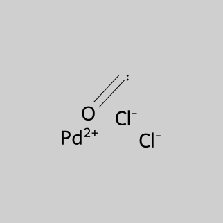 [C]=O.[Cl-].[Cl-].[Pd+2]